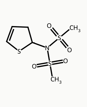 CS(=O)(=O)N([C]1CC=CS1)S(C)(=O)=O